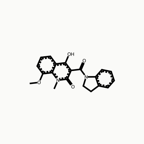 COc1cccc2c(O)c(C(=O)N3CCc4ccccc43)c(=O)n(C)c12